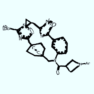 CC(=O)N1CC(C(=O)N(CC23CCC(c4nc(C(C)(C)C)no4)(CC2)CC3)c2cccc(-c3nc(C4CC4)no3)c2)C1